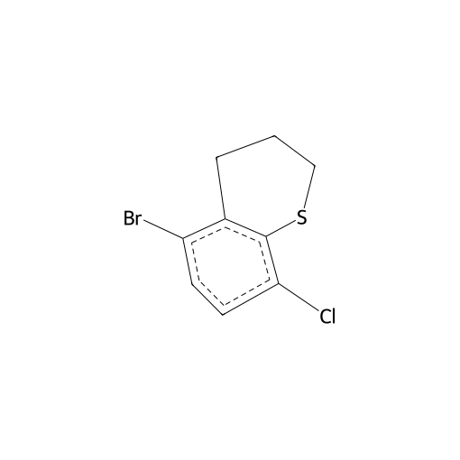 Clc1ccc(Br)c2c1SCCC2